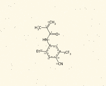 C=C(C)C(=O)Nc1cc(C(F)(F)F)c(C#N)cc1CC